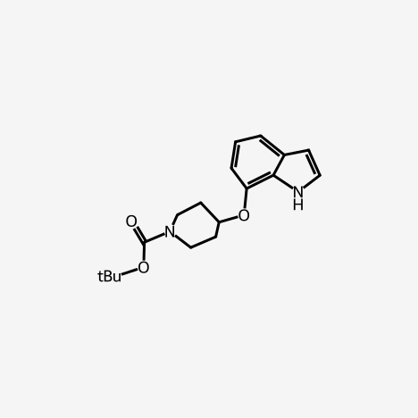 CC(C)(C)OC(=O)N1CCC(Oc2cccc3cc[nH]c23)CC1